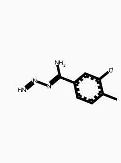 Cc1ccc(/C(N)=N/N=N)cc1Cl